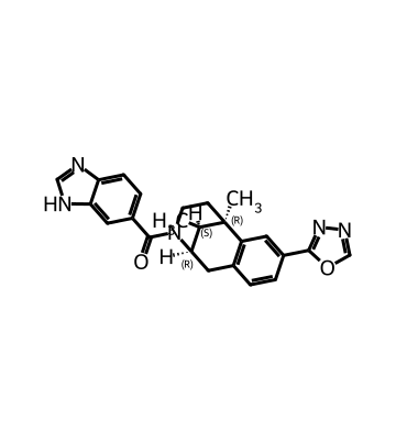 C[C@@H]1[C@H]2Cc3ccc(-c4nnco4)cc3[C@]1(C)CCN2C(=O)c1ccc2nc[nH]c2c1